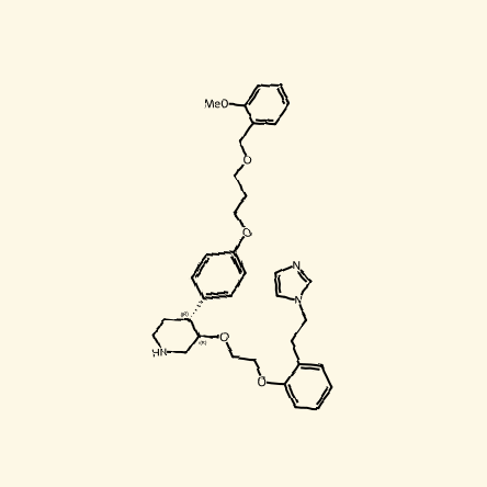 COc1ccccc1COCCCOc1ccc([C@H]2CCNC[C@@H]2OCCOc2ccccc2CCn2ccnc2)cc1